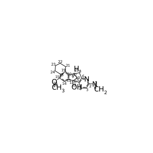 C=Nc1ccc2c(n1)C[C@H]1C[C@]2(O)c2cc(OC)c3c(c21)CCCC3